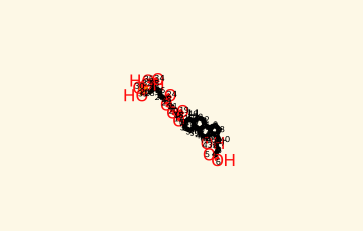 C[C@H](CCC(=O)O)C1CCC2C3CC[C@@H]4C[C@H](OC(=O)OCOC(=O)CCC(CP(=O)(O)O)C(=O)O)CC[C@]4(C)C3C[C@H](O)[C@@]21C